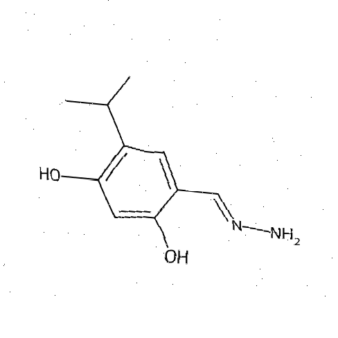 CC(C)c1cc(/C=N/N)c(O)cc1O